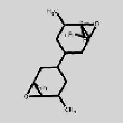 CCCC12CC(C3CC(C)[C@@H]4OC4(CCC)C3)CC(C)C1O2